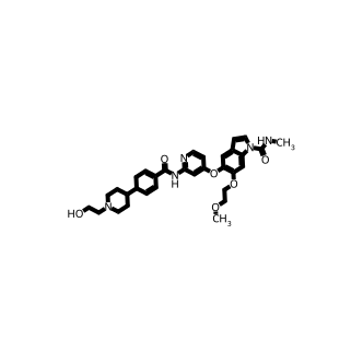 CNC(=O)n1ccc2cc(Oc3ccnc(NC(=O)C4=CCC(C5CCN(CCO)CC5)C=C4)c3)c(OCCOC)cc21